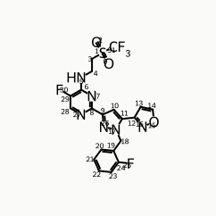 O=S(=O)(CCNc1nc(-c2cc(-c3ccon3)n(Cc3ccccc3F)n2)ncc1F)C(F)(F)F